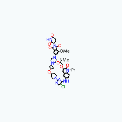 CNC(=O)COc1cc2cc(Nc3nc(N4CCC(OC5CC(N6CCN(c7cc(OC)c8c(c7)C(=O)N(C7CCC(=O)NC7=O)C8=O)CC6)C5)CC4)ncc3Cl)ccc2n(C(C)C)c1=O